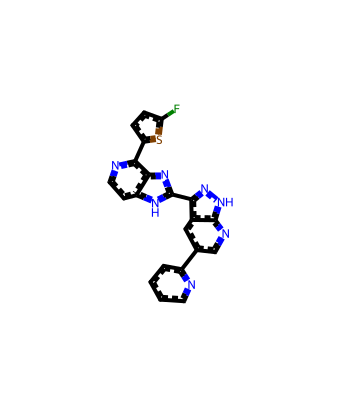 Fc1ccc(-c2nccc3[nH]c(-c4n[nH]c5ncc(-c6ccccn6)cc45)nc23)s1